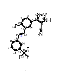 N#Cc1[nH]nnc1-c1ccc(F)c(/C=C/c2cccc(C(F)(F)F)c2)c1